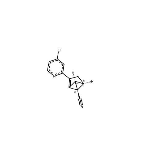 N#C[C@]12C3=C(c4cc(Cl)ccn4)C[C@@H]1[C@H]32